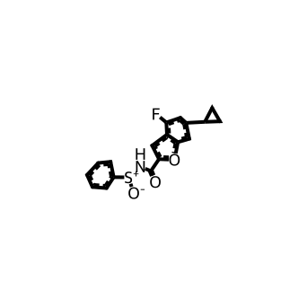 O=C(N[S+]([O-])c1ccccc1)c1cc2c(F)cc(C3CC3)cc2o1